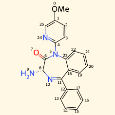 COc1ccc(N2C(=O)[C@@H](N)N=C(c3ccccc3)c3ccccc32)nc1